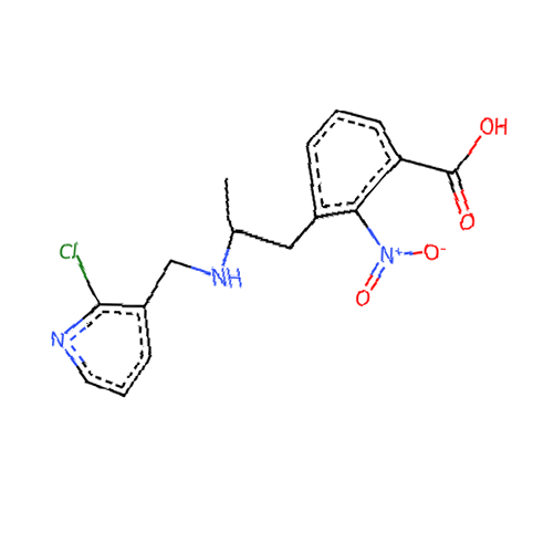 CC(Cc1cccc(C(=O)O)c1[N+](=O)[O-])NCc1cccnc1Cl